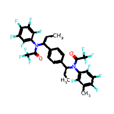 CCC(c1ccc(C(CC)N(C(=O)C(F)(F)F)c2c(F)c(F)c(F)c(F)c2F)cc1)N(C(=O)C(F)(F)F)c1c(F)c(C)c(F)c(F)c1F